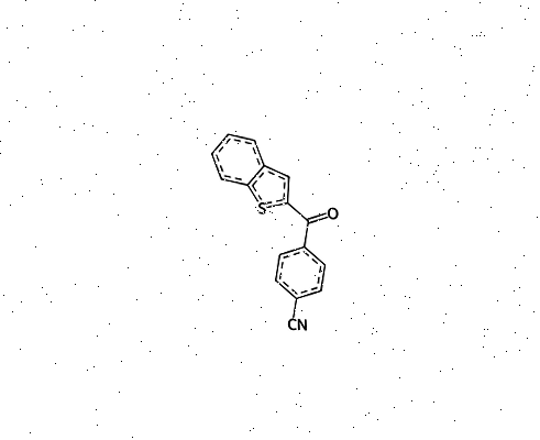 N#Cc1ccc(C(=O)c2cc3ccccc3s2)cc1